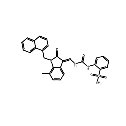 Cc1cccc2c1N(Cc1cccc3ccccc13)C(=O)C2=NNC(=S)Nc1ccccc1S(N)(=O)=O